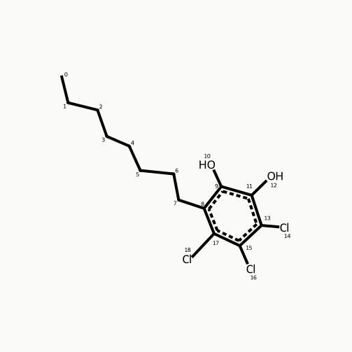 CCCCCCCCc1c(O)c(O)c(Cl)c(Cl)c1Cl